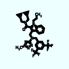 CCCn1c(C(=O)N(CC2CC2)CC2CC2)c(CN(Cc2cc(C(F)(F)F)cc(C(F)(F)F)c2)c2nnn(C)n2)c2ccccc21